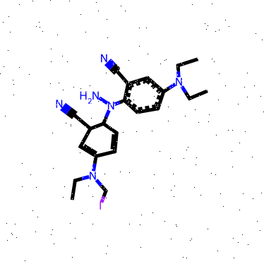 CCN(CI)C1=CC(C#N)C(N(N)c2ccc(N(CC)CC)cc2C#N)C=C1